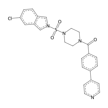 O=C(c1ccc(-c2ccncc2)cc1)N1CCN(S(=O)(=O)n2cc3ccc(Cl)cc3c2)CC1